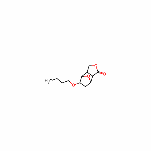 CCCCOC1CC2OC1C1COC(=O)C21